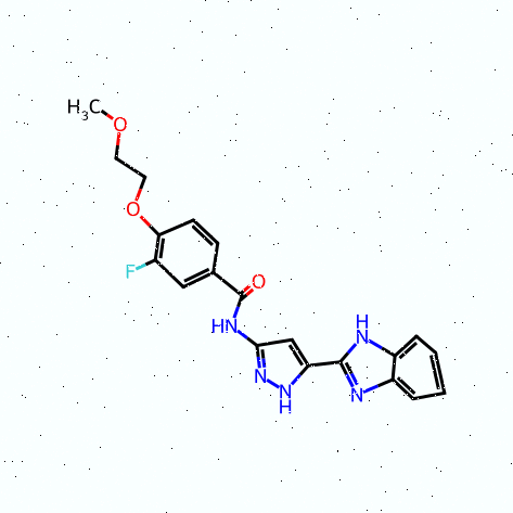 COCCOc1ccc(C(=O)Nc2cc(-c3nc4ccccc4[nH]3)[nH]n2)cc1F